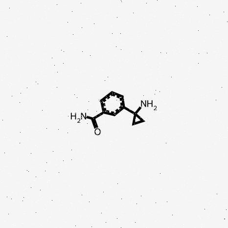 NC(=O)c1cccc(C2(N)CC2)c1